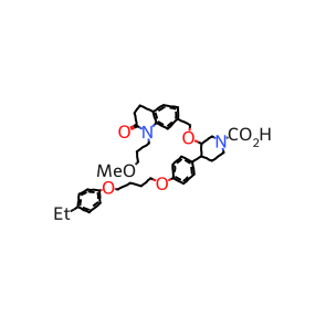 CCc1ccc(OCCCCOc2ccc(C3CCN(C(=O)O)CC3OCc3ccc4c(c3)N(CCCOC)C(=O)CC4)cc2)cc1